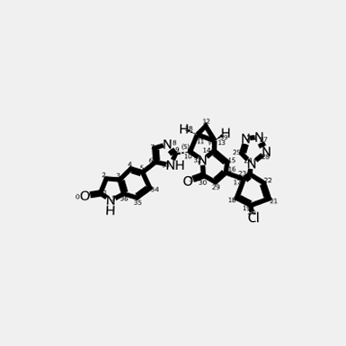 O=C1Cc2cc(-c3cnc([C@@H]4[C@H]5C[C@H]5c5cc(-c6cc(Cl)ccc6-n6cnnn6)cc(=O)n54)[nH]3)ccc2N1